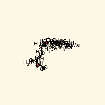 COc1c(C)c(OC2OC(C)C(O)C(OC)C2O)c(I)c(C)c1C(=O)SC1C(O)CC(ONC2C(C)OC(O[C@H]3C#C/C=C\C#C[C@]4(O)CC(=O)C(CC(C)=O)=C3/C4=C/CSSC(C)(C)CCC(=O)CCCNC(=O)OCc3ccc(NC(=O)[C@H](CCCNC(N)=O)CC(=O)[C@H](Cc4ccccc4)NC(=O)CCCCCN4C(=O)C=CC4=O)cc3)C(OC3CC(C)C(CC(C)=O)CO3)C2O)OC1C